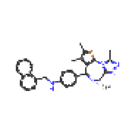 CC(=O)O[C@@H]1N=C(c2ccc(NCc3cccc4ccccc34)cc2)c2c(sc(C)c2C)-n2c(C)nnc21